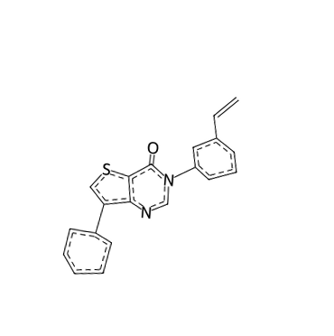 C=Cc1cccc(-n2cnc3c(-c4ccccc4)csc3c2=O)c1